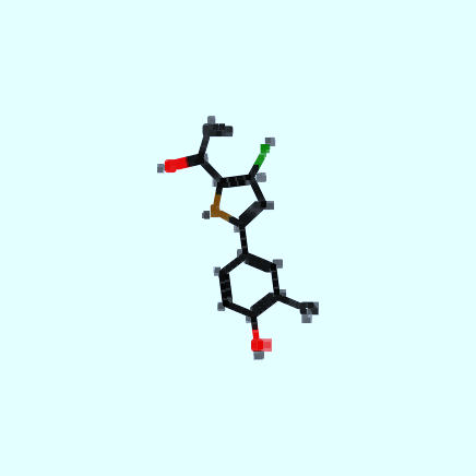 COC(=O)c1sc(-c2ccc(O)c(C#N)c2)cc1F